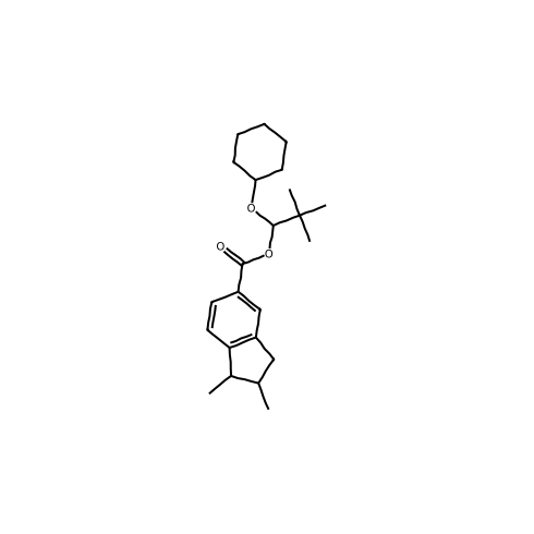 CC1Cc2cc(C(=O)OC(OC3CCCCC3)C(C)(C)C)ccc2C1C